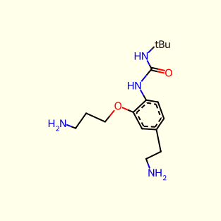 CC(C)(C)NC(=O)Nc1ccc(CCN)cc1OCCCN